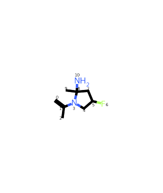 C=C(C)N1CC(F)CC1(C)N